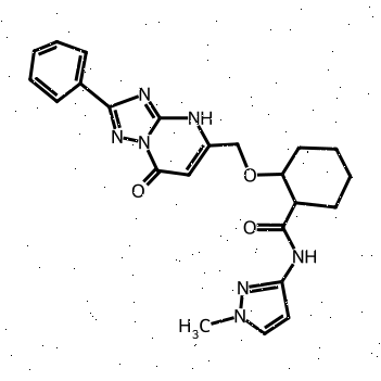 Cn1ccc(NC(=O)C2CCCCC2OCc2cc(=O)n3nc(-c4ccccc4)nc3[nH]2)n1